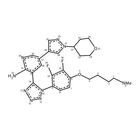 CNCCCCOc1ccc(-n2nnnc2-c2cc(-c3cnn(C4CCOCC4)c3)cnc2N)c(F)c1F